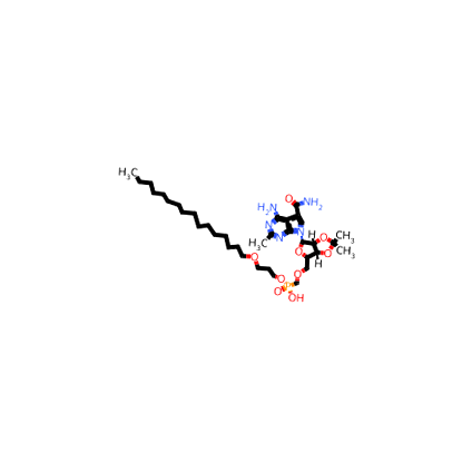 CCCCCCCCCCCCCCCCOCCCOP(=O)(O)COCC1O[C@@H](n2cc(C(N)=O)c3c(N)nc(C)nc32)[C@@H]2OC(C)(C)O[C@H]12